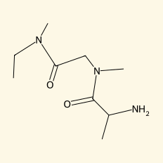 CCN(C)C(=O)CN(C)C(=O)C(C)N